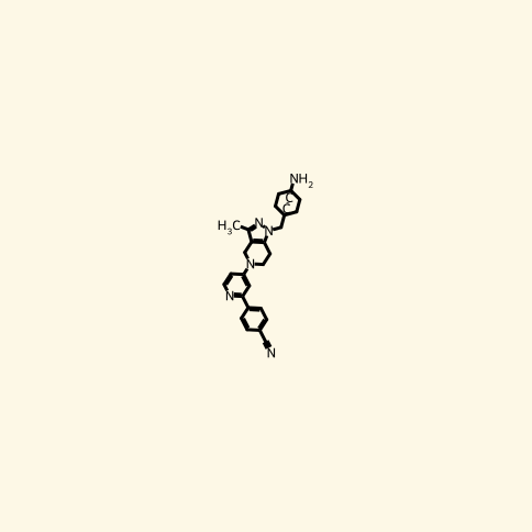 Cc1nn(CC23CCC(N)(CC2)CC3)c2c1CN(c1ccnc(-c3ccc(C#N)cc3)c1)CC2